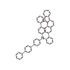 c1ccc(-c2ccc(-c3ccc(N(c4ccc(-c5ccccc5)cc4)c4ccccc4-c4ccc5c(ccc6c7ccccc7oc56)c4)cc3)cc2)cc1